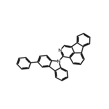 c1ccc(-c2ccc3c(c2)c2ccccc2n3-c2ncc3c4c(cccc24)-c2ccccc2-3)cc1